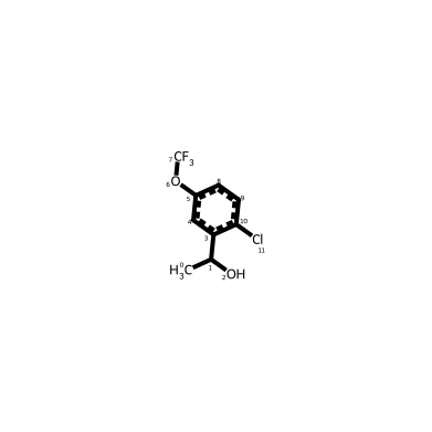 CC(O)c1cc(OC(F)(F)F)ccc1Cl